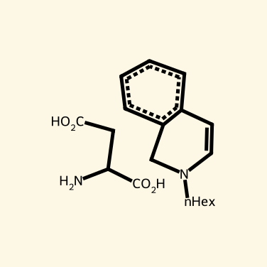 CCCCCCN1C=Cc2ccccc2C1.NC(CC(=O)O)C(=O)O